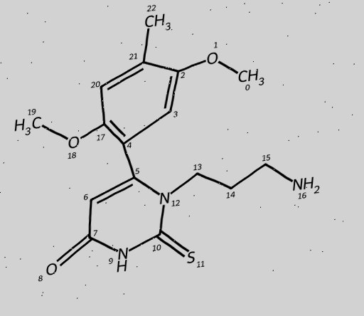 COc1cc(-c2cc(=O)[nH]c(=S)n2CCCN)c(OC)cc1C